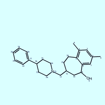 Cc1cc(C)c2c(c1)C(O)CC(CN1CCC(c3ccccc3)CC1)CC2